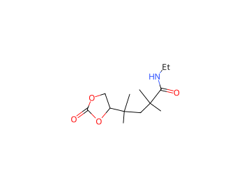 CCNC(=O)C(C)(C)CC(C)(C)C1COC(=O)O1